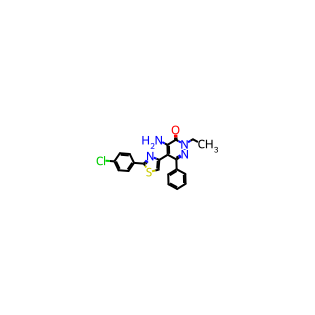 CCn1nc(-c2ccccc2)c(-c2csc(-c3ccc(Cl)cc3)n2)c(N)c1=O